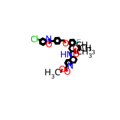 CCOC(=O)c1ccc2c(n1)CCCC2NC(Cc1cc(F)ccc1OCc1ccc(-c2nc3cc(Cl)ccc3o2)cc1)C(=O)OC(C)(C)C